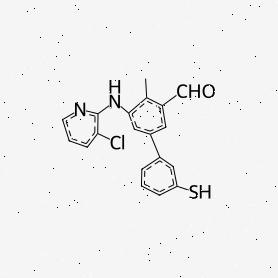 Cc1c(C=O)cc(-c2cccc(S)c2)cc1Nc1ncccc1Cl